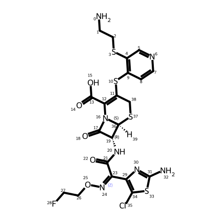 NCCSc1cnccc1SC1=C(C(=O)O)N2C(=O)[C@@H](NC(=O)/C(=N\OCCF)c3nc(N)sc3Cl)[C@@H]2SC1